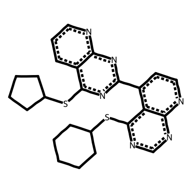 c1cnc2nc(-c3ccnc4ncnc(SC5CCCCC5)c34)nc(SC3CCCC3)c2c1